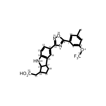 Cc1cc(OC(F)(F)F)cc(-c2nc(-c3ccc4c(c3)C3CCC(CC(=O)O)C3N4)no2)c1